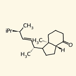 CC(C)[C@@H](C)/C=C/[C@@H](C)C1CC[C@H]2C(=O)CCC[C@]12C